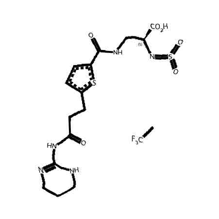 CC(F)(F)F.O=C(CCc1ccc(C(=O)NC[C@H](N=S(=O)=O)C(=O)O)s1)NC1=NCCCN1